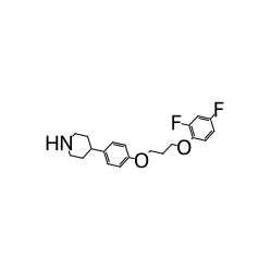 Fc1ccc(OCCCOc2ccc(C3CCNCC3)cc2)c(F)c1